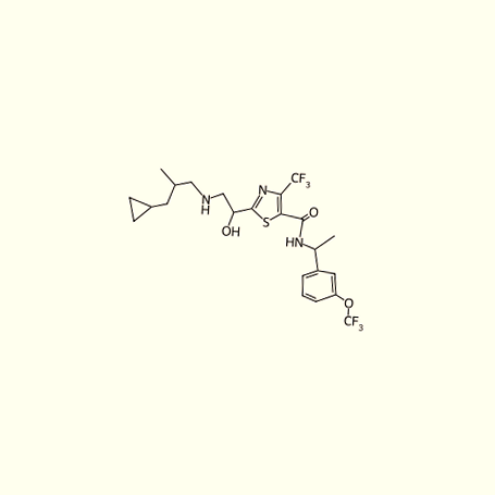 CC(CNCC(O)c1nc(C(F)(F)F)c(C(=O)NC(C)c2cccc(OC(F)(F)F)c2)s1)CC1CC1